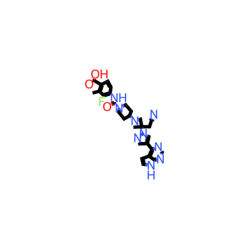 Cc1c(C(=O)O)ccc(NC(=O)N2CCC(N3CC(CC#N)(n4cc(-c5ncnc6[nH]ccc56)cn4)C3)CC2)c1F